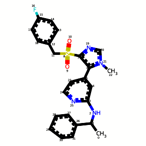 CC(Nc1cc(-c2c(S(=O)(=O)Cc3ccc(F)cc3)ncn2C)ccn1)c1ccccc1